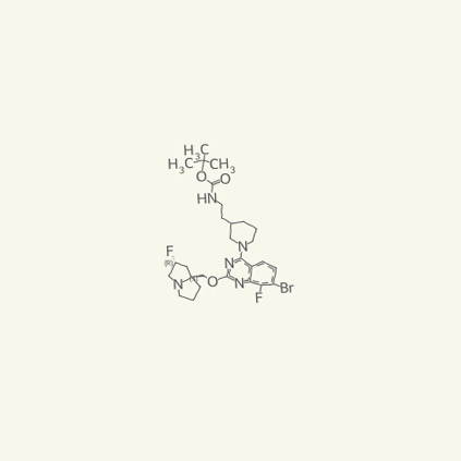 CC(C)(C)OC(=O)NCCC1CCCN(c2nc(OC[C@@]34CCCN3C[C@H](F)C4)nc3c(F)c(Br)ccc23)C1